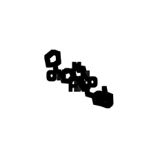 CC12C=C3CC(C1)CC(CC(=O)Nc1ncnc4c1CCN(C(=O)C1CCCCC1)C4)(C3)C2